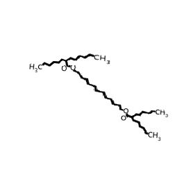 CCCCCCC(CCCCCC)C(=O)OCCCCCCCCCCCCCOC(=O)C(CCCCCC)CCCCCC